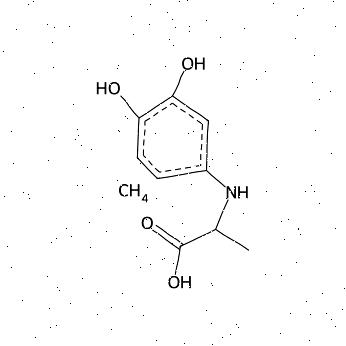 C.CC(Nc1ccc(O)c(O)c1)C(=O)O